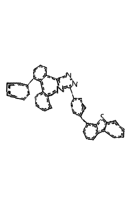 c1ccc(-c2cccc3c2c2ccccc2n2c(-c4ccc(-c5cccc6c5sc5ccccc56)cc4)nnc32)cc1